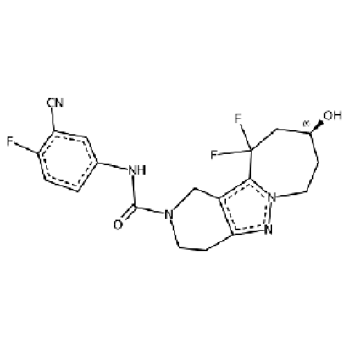 N#Cc1cc(NC(=O)N2CCc3nn4c(c3C2)C(F)(F)C[C@@H](O)CC4)ccc1F